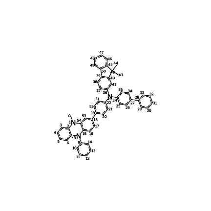 CN1c2ccccc2N(c2ccccc2)c2ccc(-c3ccc(N(c4ccc(-c5ccccc5)cc4)c4ccc5c(c4)C(C)(C)c4ccccc4-5)cc3)cc21